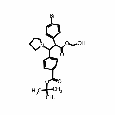 CC(C)(C)OC(=O)c1ccc(C(C(C(=O)OCO)c2ccc(Br)cc2)N2CCCC2)cc1